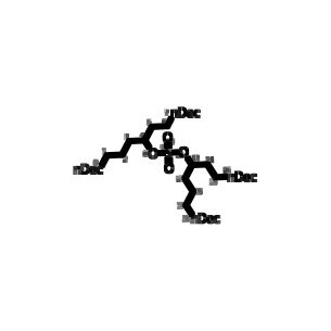 CCCCCCCCCCCCCC(CCCCCCCCCCCC)OS(=O)(=O)OC(CCCCCCCCCCCC)CCCCCCCCCCCCC